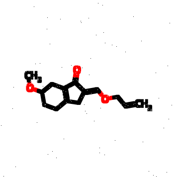 C=CCOC=C1CC2=C(CC(OC)CC2)C1=O